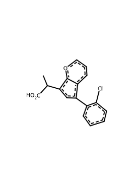 CC(C(=O)O)c1cc(-c2ccccc2Cl)c2cccoc1-2